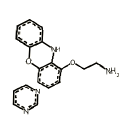 NCCOc1cccc2c1Nc1ccccc1O2.c1cncnc1